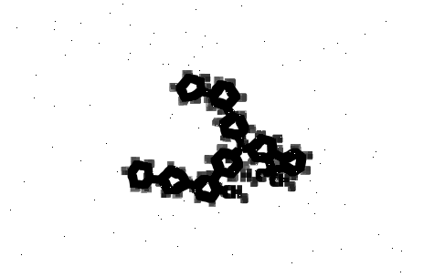 Cc1ccc(-c2ccc(C3CCCCC3)cc2)cc1-c1ccc(N(c2ccc(-c3cccc(C4CCCCC4)c3)cc2)c2ccc3c(c2)C(C)(C)c2ccccc2-3)cc1